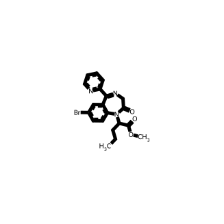 CCCC(C(=O)OC)N1C(=O)CN=C(c2ccccn2)c2cc(Br)ccc21